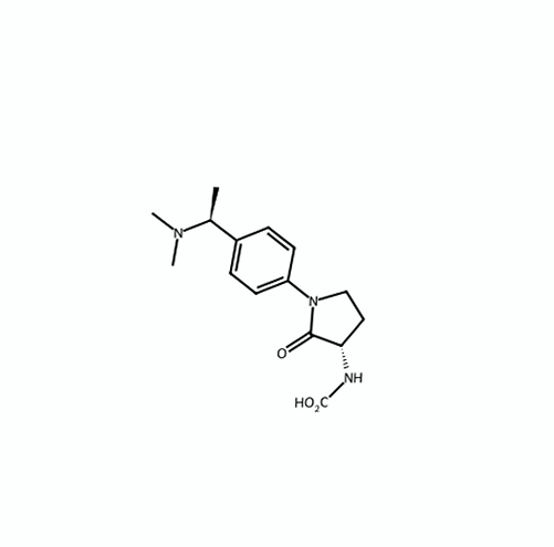 C[C@@H](c1ccc(N2CC[C@H](NC(=O)O)C2=O)cc1)N(C)C